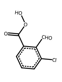 O=Cc1c(Cl)cccc1C(=O)OO